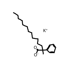 CCCCCCCCCCCCC(C)(C(=O)[O-])c1ccccc1.[K+]